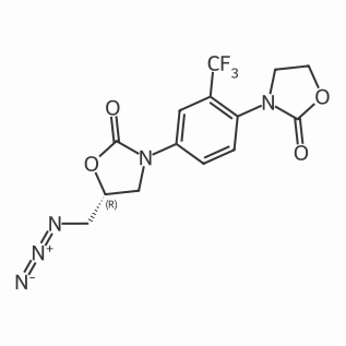 [N-]=[N+]=NC[C@H]1CN(c2ccc(N3CCOC3=O)c(C(F)(F)F)c2)C(=O)O1